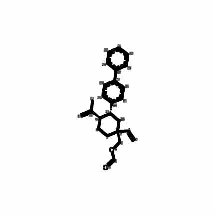 C=C[C@]1(COC=O)CC[C@@H](C(=C)C)[C@H](c2ccc(-c3ccccc3)cc2)C1